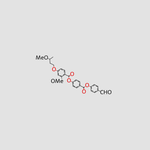 COc1cc(OCCC(C)OC)ccc1C(=O)Oc1ccc(C(=O)Oc2ccc(C=O)cc2)cc1